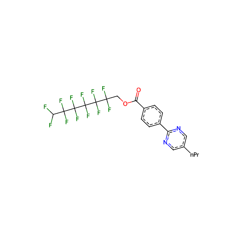 CCCc1cnc(-c2ccc(C(=O)OCC(F)(F)C(F)(F)C(F)(F)C(F)(F)C(F)(F)C(F)F)cc2)nc1